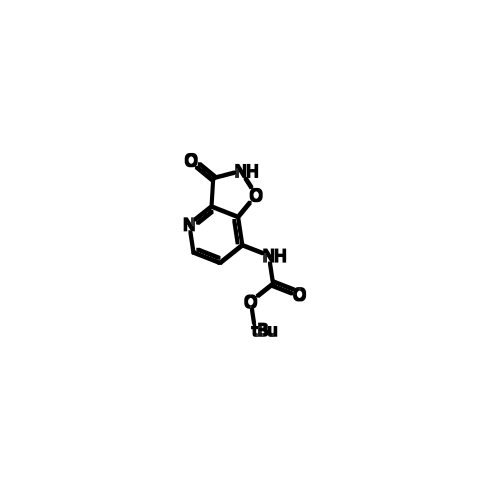 CC(C)(C)OC(=O)Nc1ccnc2c(=O)[nH]oc12